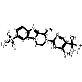 Cc1nc(N2CCn3c(nc4ccc(S(C)(=O)=O)cc43)C2C(C)C)ncc1C(C)(C)O